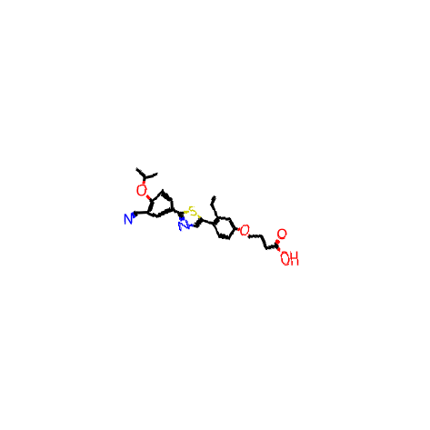 CCc1cc(OCCCC(=O)O)ccc1-c1cnc(-c2ccc(OC(C)C)c(C#N)c2)s1